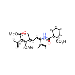 C=C(C)\C(=C/C=C(C)/C(OC)=C(/C(=C)C)C(=O)OC)NC(=O)[C@H]1CCCC[C@@H]1C(=O)O